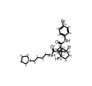 O=C(NCCCCN1CCCC1)[C@H]1[C@H](C(=O)Nc2ccc(Br)cc2)[C@@H]2CC[C@H]1C21CC1